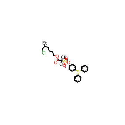 CCC(CCl)CCCCOC(=O)C(C(F)(F)F)(C(F)(F)F)S(=O)(=O)[O-].c1ccc([S+](c2ccccc2)c2ccccc2)cc1